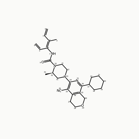 C=C/C(C)=C(\C=C)NC(=O)N1CCN(c2nc(C3CCCCC3)c3c(c2C#N)CCOC3)C[C@H]1C